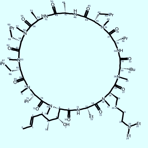 C/C=C/C[C@@H](C)[C@@H](O)[C@H]1C(=O)N[C@@H](CC)C(=O)N(C)[C@H](CSCCN(CC)CC)C(=O)N(C)[C@@H](C(C)CC)C(=O)N[C@@H](C(C)C)C(=O)N(C)[C@@H](CC(C)C)C(=O)N[C@@H](C)C(=O)N[C@H](C)C(=O)N(C)[C@@H](CC(C)C)C(=O)N(C)[C@@H](CC(C)C)C(=O)N(C)[C@@H](C(C)C)C(=O)N1C